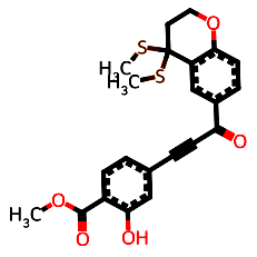 COC(=O)c1ccc(C#CC(=O)c2ccc3c(c2)C(SC)(SC)CCO3)cc1O